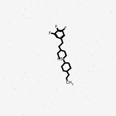 CCCC1CCC([SiH]2CCC(CCc3cc(F)c(F)c(F)c3)CC2)CC1